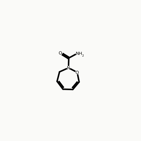 NC(=O)N1CC=CC=CO1